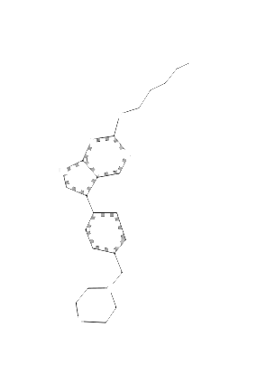 OCCCCNc1ncc2c(-c3ccc(CN4CCOCC4)cc3)c[nH]c2n1